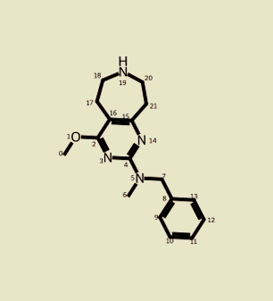 COc1nc(N(C)Cc2ccccc2)nc2c1CCNCC2